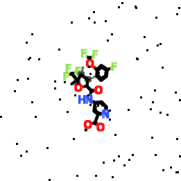 COC(=O)c1cc(NC(=O)C2O[C@](C)(C(F)(F)F)[C@H](C)[C@@H]2c2ccc(F)cc2OC(F)F)ccn1